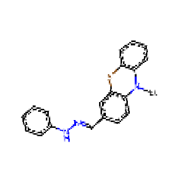 CCN1c2ccccc2Sc2cc(C=NNc3ccccc3)ccc21